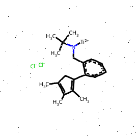 CC1=C(C)C(C)=C(c2ccccc2C[N]([Ti+2])C(C)(C)C)C1.[Cl-].[Cl-]